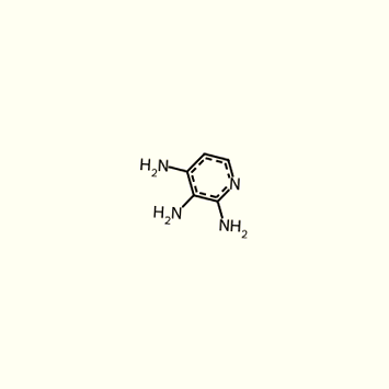 Nc1ccnc(N)c1N